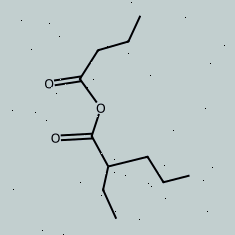 CCCC(=O)OC(=O)C(CC)CCC